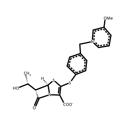 COc1ccc[n+](Cc2ccc(SC3=C(C(=O)[O-])N4C(=O)[C@H]([C@@H](C)O)[C@H]4S3)cc2)c1